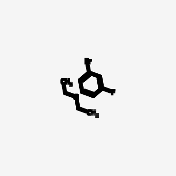 CCOCC.Fc1cccc(Br)c1